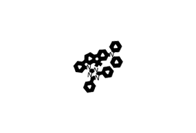 CC1(C)c2cc(N(c3ccccc3)c3ccccc3)ccc2-c2ccc3c4ccccc4n(-c4nc(-c5ccccc5)nc(-c5ccccc5)n4)c3c21